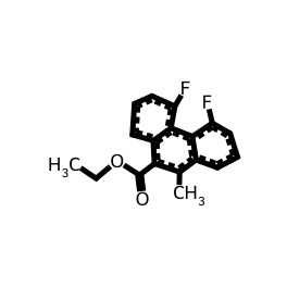 CCOC(=O)c1c(C)c2cccc(F)c2c2c(F)cccc12